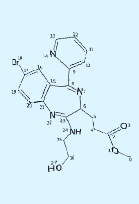 COC(=O)CCC1N=C(c2ccccn2)c2cc(Br)ccc2N=C1NCCO